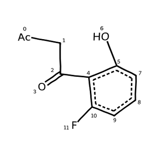 CC(=O)CC(=O)c1c(O)cccc1F